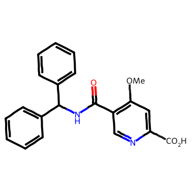 COc1cc(C(=O)O)ncc1C(=O)NC(c1ccccc1)c1ccccc1